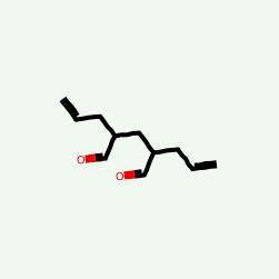 C=CCC(C=O)CC(C=O)CC=C